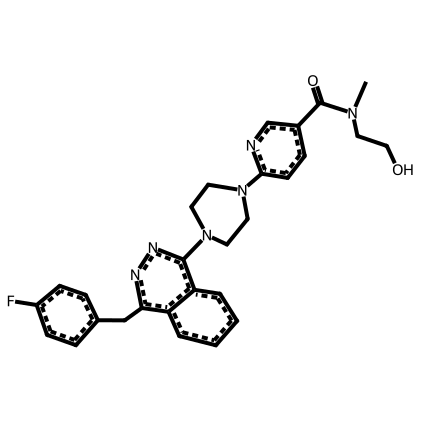 CN(CCO)C(=O)c1ccc(N2CCN(c3nnc(Cc4ccc(F)cc4)c4ccccc34)CC2)nc1